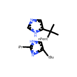 CC(C)c1nc(C(C)(C)C)c[nH]1.CCCCCC(C)(C)c1cnc[nH]1